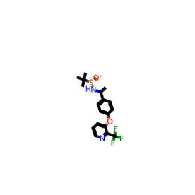 CC(N[S+]([O-])C(C)(C)C)c1ccc(Oc2cccnc2C(F)(F)F)cc1